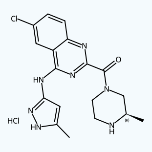 Cc1cc(Nc2nc(C(=O)N3CCN[C@H](C)C3)nc3ccc(Cl)cc23)n[nH]1.Cl